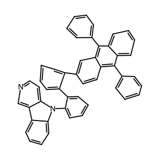 c1ccc(-c2c3ccccc3c(-c3ccccc3)c3cc(-c4ccccc4-c4ccccc4-n4c5ccccc5c5cnccc54)ccc23)cc1